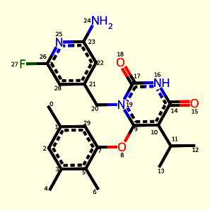 Cc1cc(C)c(C)c(Oc2c(C(C)C)c(=O)[nH]c(=O)n2Cc2cc(N)nc(F)c2)c1